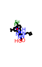 C=C(C)c1cc(C)nc(-c2nc3nc(C(=O)O)nc(NCCC4CCC4)c3n2Cc2ccc(C(F)(F)F)cc2)c1